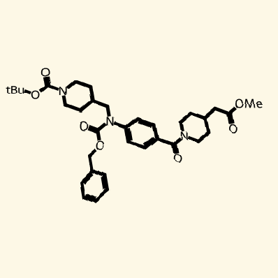 COC(=O)CC1CCN(C(=O)c2ccc(N(CC3CCN(C(=O)OC(C)(C)C)CC3)C(=O)OCc3ccccc3)cc2)CC1